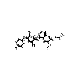 COCCOc1cc2ncnc(NC3=CC(=O)C(OC4CCN(C)CC4)=CC3=O)c2cc1OC